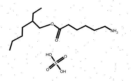 CCCCC(CC)COC(=O)CCCCCN.O=S(=O)(O)O